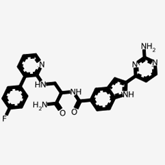 NC(=O)C(CNc1ncccc1-c1ccc(F)cc1)NC(=O)c1ccc2[nH]c(-c3ccnc(N)n3)cc2c1